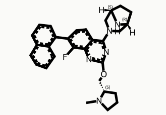 CN1CCC[C@H]1COc1nc(N2C[C@H]3CC[C@@H](C2)N3)c2ccc(-c3cccc4ccccc34)c(F)c2n1